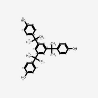 CC(C)(c1ccc(O)cc1)c1cc(C(C)(C)c2ccc(O)cc2)cc(C(C)(C)c2ccc(O)cc2)c1